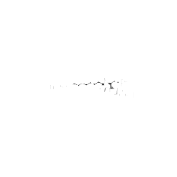 CCCCCCCCCCCCCCCCCC(=O)NC(CC(C)C)C(=O)NCCCCCCCC